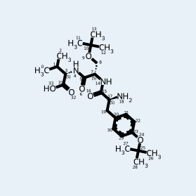 CC(C)[C@H](NC(=O)[C@H](COC(C)(C)C)NC(=O)[C@@H](N)Cc1ccc(OC(C)(C)C)cc1)C(=O)O